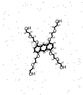 OCCOCCOc1ccc(OCCOCCO)c2cc3c(OCCOCCO)ccc(OCCOCCO)c3cc12